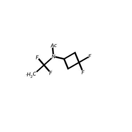 [CH2]C(F)(F)N(C(C)=O)C1CC(F)(F)C1